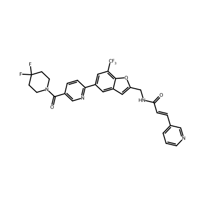 O=C(C=Cc1cccnc1)NCc1cc2cc(-c3ccc(C(=O)N4CCC(F)(F)CC4)cn3)cc(C(F)(F)F)c2o1